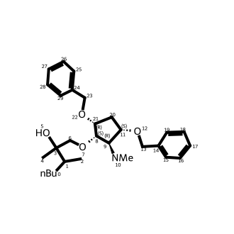 CCCCC(C)C(C)(O)CO[C@H]1[C@H](NC)[C@@H](OCc2ccccc2)C[C@H]1OCc1ccccc1